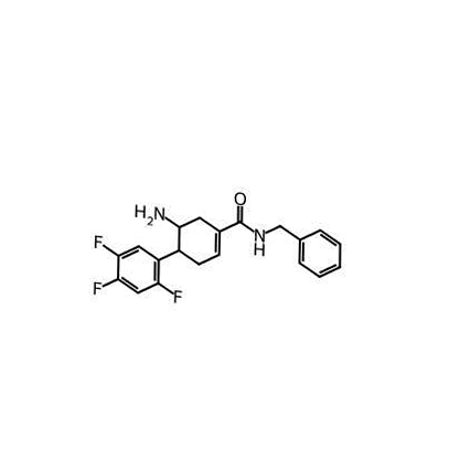 NC1CC(C(=O)NCc2ccccc2)=CCC1c1cc(F)c(F)cc1F